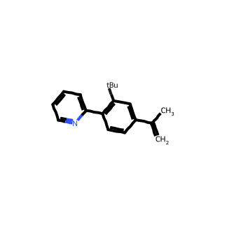 C=C(C)c1ccc(-c2ccccn2)c(C(C)(C)C)c1